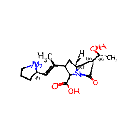 CC(=C[C@H]1CCCN1)C1C[C@@H]2[C@@H]([C@@H](C)O)C(=O)N2C1C(=O)O